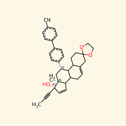 CC#C[C@]1(O)C=CC2C3CC=C4CC5(CCC4C3[C@@H](c3ccc(-c4ccc(C#N)cc4)cc3)C[C@@]21C)OCCO5